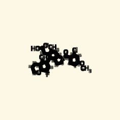 COc1ccc(C(=O)N2CCc3c2cc(C)c(CC(=O)O)c3-c2cc(F)c3c(c2C)CCCO3)c(Cl)c1